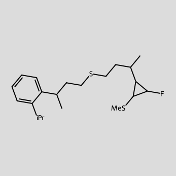 CSC1C(F)C1C(C)CCSCCC(C)c1ccccc1C(C)C